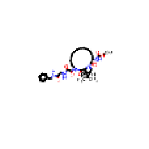 CC(C)(C)OC(=O)N[C@H]1CCCCCCCCCC[C@@H](C(=O)C(=O)NCC(=O)NCc2ccccc2)NC(=O)[C@@H]2[C@@H]3[C@H](CN2C1=O)C3(C)C